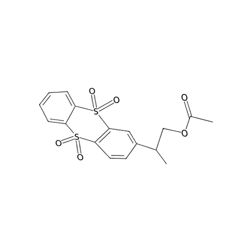 CC(=O)OCC(C)c1ccc2c(c1)S(=O)(=O)c1ccccc1S2(=O)=O